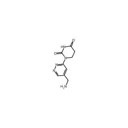 NCc1cnnc(N2CCC(=O)NC2=O)c1